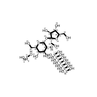 N.O=S(=O)(O)O.O=S(=O)(O)O.O=S(=O)(O)O.O=S(=O)(O)O.O=S(=O)(O)O.O=S(=O)(O)O.O=S(=O)(O)O.O=S(=O)(O)O.OC[C@H]1O[C@@](CO)(O[C@H]2O[C@H](CO)[C@@H](O)[C@H](O)[C@H]2O)[C@@H](O)[C@@H]1O